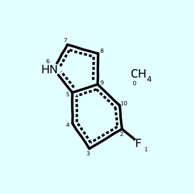 C.Fc1ccc2[nH]ccc2c1